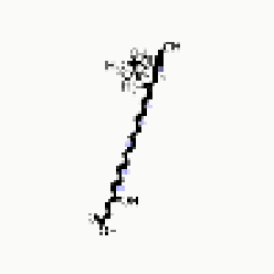 CC/C=C/CC(/C=C/C=C/C/C=C/C/C=C/C=C/C(O)CCC(=O)O)O[Si](C)(C)C(C)(C)C